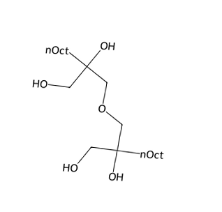 CCCCCCCCC(O)(CO)COCC(O)(CO)CCCCCCCC